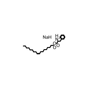 CCCCCCCC/C=C\CCCCCCCC(=O)OC(=O)[C@@H](N)Cc1ccccc1.[NaH]